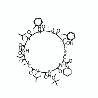 CC[C@]1(O)NC(=O)[C@H](CC(C)C)N(C)C(=O)[C@H](Cc2ccccc2)NC(=O)[C@H](C)N(C)C(=O)[C@H](Cc2ccccc2)N(C)C(O)CSC[C@@H](C(=O)N2CCCCC2)NC(=O)[C@H](COC(C)(C)C)NC(=O)[C@H](CC(C)C)N(C)C(=O)CN(C)C1=O